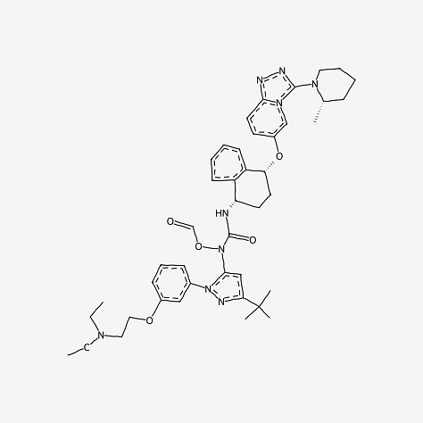 CCN(CC)CCOc1cccc(-n2nc(C(C)(C)C)cc2N(OC=O)C(=O)N[C@H]2CC[C@@H](Oc3ccc4nnc(N5CCCC[C@@H]5C)n4c3)c3ccccc32)c1